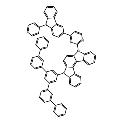 c1ccc(-c2cccc(-c3cc(-c4cccc(-c5ccccc5)c4)cc(-n4c5ccccc5c5c6c7ccccc7n(-c7nccc(-c8ccc9c(c8)c8ccccc8n9-c8ccccc8)n7)c6ccc54)c3)c2)cc1